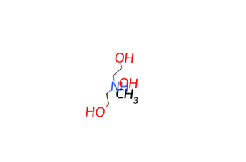 CO.OCCNCCO